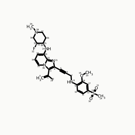 C=C(F)c1c(C#CCNc2ccc(S(C)(=O)=O)cc2OC)nc2c(N[C@@H]3CCN(C)C[C@@H]3F)cccn12